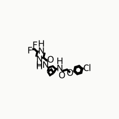 O=C(COc1ccc(Cl)cc1)NC1CC(NC(=O)C2CNC(C(F)F)CN2)C2CC1C2